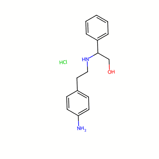 Cl.Nc1ccc(CCNC(CO)c2ccccc2)cc1